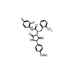 COc1ccc([C@H]2NC(=O)N([C@H](Cc3ccccc3C(F)(F)F)C(=O)Nc3ccc(I)cc3F)C2=O)cc1